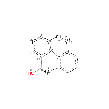 Cc1cccc(C)c1-c1c(C)cccc1CO